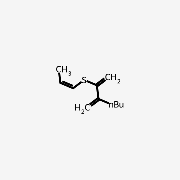 C=C(CCCC)C(=C)S/C=C\C